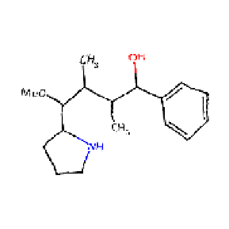 COC(C1CCCN1)C(C)C(C)C(O)c1ccccc1